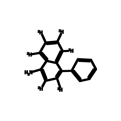 [2H]c1c([2H])c([2H])c2c(-c3ccccc3)c([2H])c([2H])c(N)c2c1[2H]